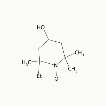 CCC1(C)CC(O)CC(C)(C)N1[O]